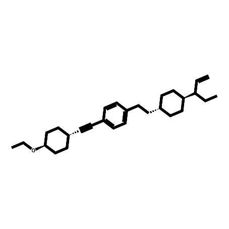 C=CC(CC)[C@H]1CC[C@H](CCc2ccc(C#C[C@H]3CC[C@H](OCC)CC3)cc2)CC1